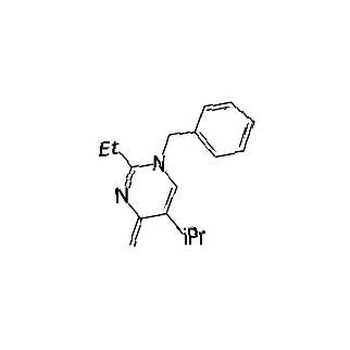 C=C1N=C(CC)N(Cc2ccccc2)C=C1C(C)C